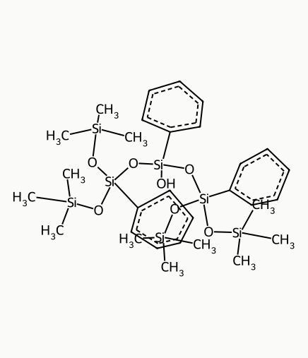 C[Si](C)(C)O[Si](O[Si](C)(C)C)(O[Si](O)(O[Si](O[Si](C)(C)C)(O[Si](C)(C)C)c1ccccc1)c1ccccc1)c1ccccc1